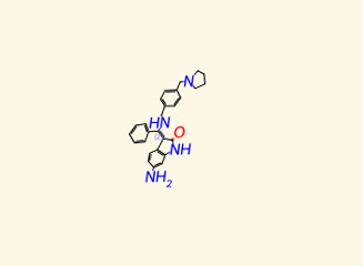 Nc1ccc2c(c1)NC(=O)/C2=C(\NCc1ccc(CN2CCCC2)cc1)c1ccccc1